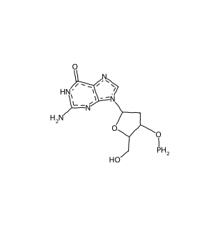 Nc1nc2c(ncn2C2CC(OP)C(CO)O2)c(=O)[nH]1